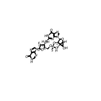 Nc1nc2c(ncn2[C@@H]2O[C@@H]3C(O)[C@]3(F)[C@H]2OP(O)(=S)OC[C@H]2O[C@@H](n3cnc4c(=O)[nH]cnc43)[C@@H](F)[C@@H]2O)c(=O)[nH]1